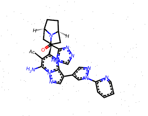 CC(=O)c1c([C@H]2C[C@H]3CC[C@@H](C2)N3C(=O)c2nnc[nH]2)nc2c(-c3cnn(-c4ccccn4)c3)cnn2c1N